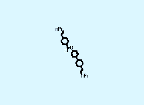 CCCC=CC1CCC(C(=O)Oc2ccc(C3CCC(C=CCCC)CC3)cc2)CC1